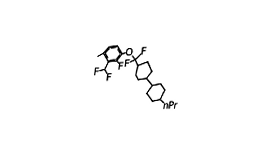 CCCC1CCC(C2CCC(C(F)(F)Oc3ccc(C)c(C(F)F)c3F)CC2)CC1